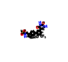 COc1c(-c2ccc3c(c2)CC=C3CNS(C)(=O)=O)cc(-c2c[nH]c(=O)[nH]c2=O)cc1C(F)(F)F